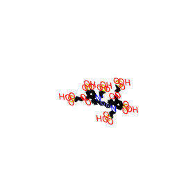 CC1(C)C(/C=C/C=C2/N(CCCS(=O)(=O)O)c3cc(S(=O)(=O)O)cc(C(=O)OCCCS(=O)(=O)O)c3C2(C)C)=[N+](CCCS(=O)(=O)O)c2cc(S(=O)(=O)O)cc(C(=O)OCCCS(=O)(=O)O)c21